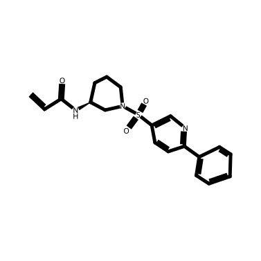 C=CC(=O)N[C@H]1CCCN(S(=O)(=O)c2ccc(-c3ccccc3)nc2)C1